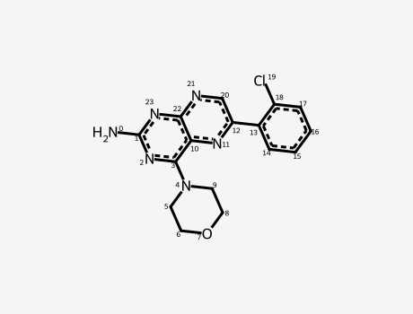 Nc1nc(N2CCOCC2)c2nc(-c3ccccc3Cl)cnc2n1